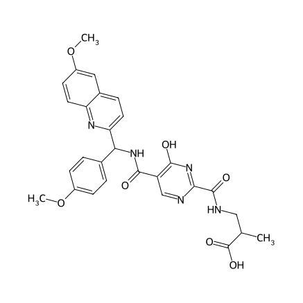 COc1ccc(C(NC(=O)c2cnc(C(=O)NCC(C)C(=O)O)nc2O)c2ccc3cc(OC)ccc3n2)cc1